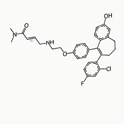 CN(C)C(=O)/C=C/CNCCOc1ccc(C2=C(c3ccc(F)cc3Cl)CCCc3cc(O)ccc32)cc1